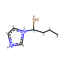 CCCC(S)n1ccnc1